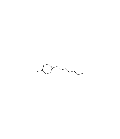 CCCCCCCN1CCC(C)CC1